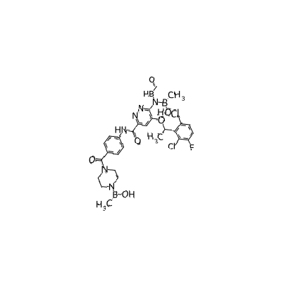 CB(O)N1CCN(C(=O)c2ccc(NC(=O)c3cc(OC(C)c4c(Cl)ccc(F)c4Cl)c(N(BC=O)B(C)O)nn3)cc2)CC1